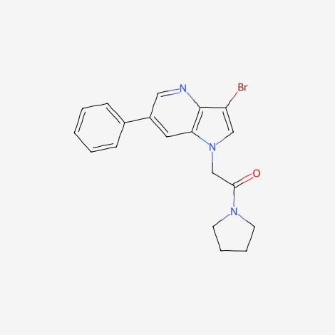 O=C(Cn1cc(Br)c2ncc(-c3ccccc3)cc21)N1CCCC1